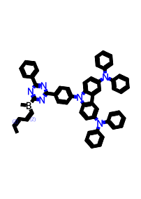 C/C=C\C=C/B(C)c1nc(-c2ccccc2)nc(-c2ccc(-n3c4ccc(N(c5ccccc5)c5ccccc5)cc4c4cc(N(c5ccccc5)c5ccccc5)ccc43)cc2)n1